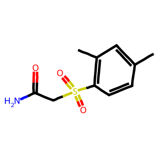 Cc1ccc(S(=O)(=O)CC(N)=O)c(C)c1